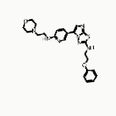 c1ccc(OCCNc2nn3c(-c4ccc(NCCN5CCOCC5)nc4)cnc3s2)cc1